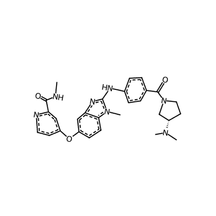 CNC(=O)c1cc(Oc2ccc3c(c2)nc(Nc2ccc(C(=O)N4CC[C@H](N(C)C)C4)cc2)n3C)ccn1